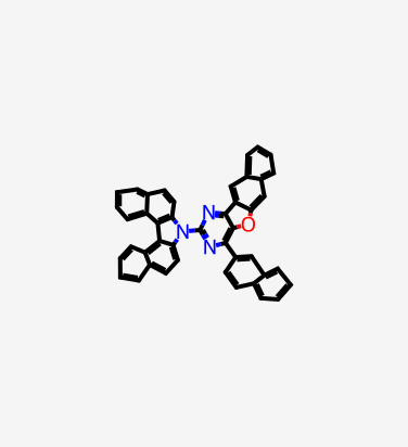 c1ccc2cc(-c3nc(-n4c5ccc6ccccc6c5c5c6ccccc6ccc54)nc4c3oc3cc5ccccc5cc34)ccc2c1